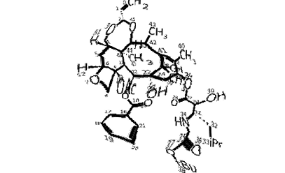 C=C[C@H]1O[C@H]2C[C@H]3OC[C@@]3(OC(C)=O)C3[C@H](OC(=O)c4ccccc4)[C@]4(O)C[C@H](OC(=O)C(O)[C@H](CC(C)C)NC(=O)OC(C)(C)C)C(C)=C(C(C)[C@H](O1)[C@@]32C)C4(C)C